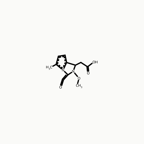 CON1C(=C=O)n2c(C)ccc2C1CC(=O)O